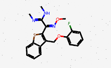 CN=C(NC)C(=NOC)c1sc2ccccc2c1COc1ccccc1F